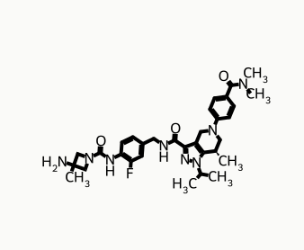 CC(C)n1nc(C(=O)NCc2ccc(NC(=O)N3CC(C)(N)C3)c(F)c2)c2c1[C@@H](C)CN(c1ccc(C(=O)N(C)C)cc1)C2